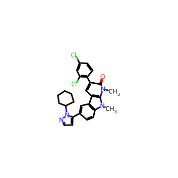 Cn1c(=O)c(-c2ccc(Cl)cc2Cl)cc2c3cc(-c4ccnn4C4CCCCC4)ccc3n(C)c21